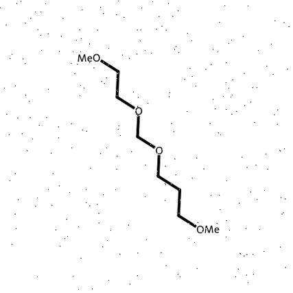 COCCCOCOCCOC